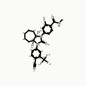 CNC(=O)c1ccc(N2C(=O)N(c3ccc(C#N)c(C(F)(F)F)c3)[C@@H]3CCCCC[C@H]32)cc1F